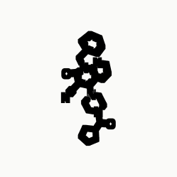 N#Cc1c(N2CCN(C(=O)C3CCCC3)CC2)c2cccnc2n(Cc2ccccc2)c1=O